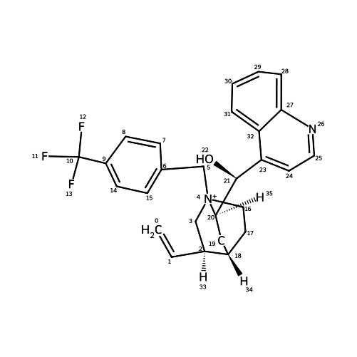 C=C[C@H]1C[N+]2(Cc3ccc(C(F)(F)F)cc3)CC[C@H]1C[C@@H]2[C@@H](O)c1ccnc2ccccc12